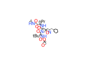 CCC[C@H](NC(=O)[C@@H]1C[C@]2(CC(Cc3ccccc3)=NO2)CN1C(=O)[C@@H](NC(=O)O[C@H]1CCOC1)C(C)(C)C)C(=O)C(=O)NC1CC1